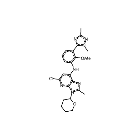 COc1c(Nc2cc(Cl)nc3c2nc(C)n3C2CCCCO2)cccc1-c1nc(C)nn1C